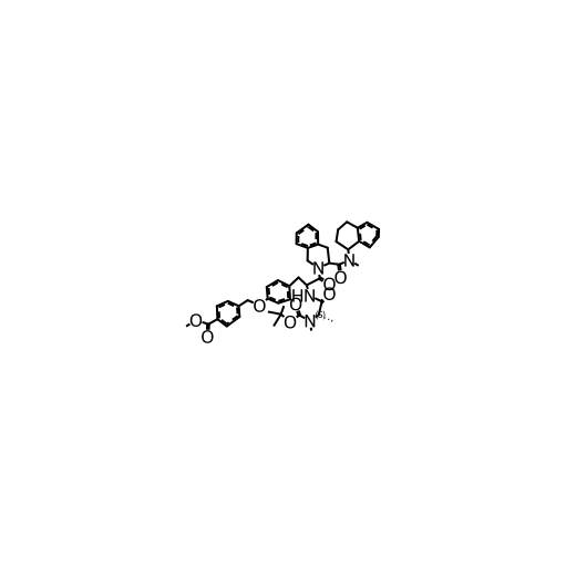 COC(=O)c1ccc(COc2ccc(CC(NC(=O)[C@H](C)N(C)C(=O)OC(C)(C)C)C(=O)N3Cc4ccccc4CC3C(=O)N(C)C3CCCc4ccccc43)cc2)cc1